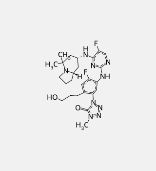 Cn1nnn(-c2cc(Nc3ncc(F)c(N[C@@H]4C[C@@H]5CCCN5C(C)(C)C4)n3)c(F)cc2CCCO)c1=O